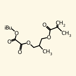 C=C(C)C(=O)OCC(C)COC(=O)C(=O)OC(C)CC